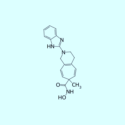 CC1(C(=O)NO)C=CC2=C(C=C1)CN(c1nc3ccccc3[nH]1)CC2